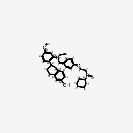 CCN(Cc1ccc(OCCN(C)C2CCCCC2)cc1)c1cc(OC)ccc1C1CCc2cc(O)ccc2C1